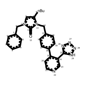 CCCCc1cn(Cc2ccccc2)c(=O)n1Cc1ccc(-c2ccncc2-c2nnn[nH]2)cc1